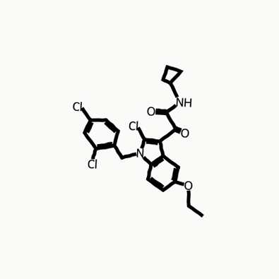 CCOc1ccc2c(c1)c(C(=O)C(=O)NC1CCC1)c(Cl)n2Cc1ccc(Cl)cc1Cl